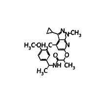 COc1ccc(C(C)NC(=O)C(C)Oc2cc(C)c3c(C4CC4)nn(C)c3n2)cc1